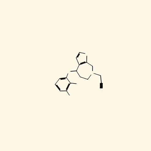 Cl.N#CCN1CCC(Oc2cccc(Br)c2Cl)c2ccoc2C1